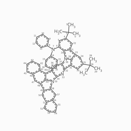 CC(C)(C)c1cc(N(c2ccccc2)c2ccccc2)c2c(c1)c1cc(C(C)(C)C)cc3c4nc5c(nc4n2c13)c1c2ccccc2cc2c3cc4ccccc4cc3n5c21